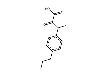 CCCc1ccc(C(C)C(=O)C(=O)O)cc1